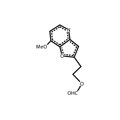 COc1ccnc2cc(CCOC=O)oc12